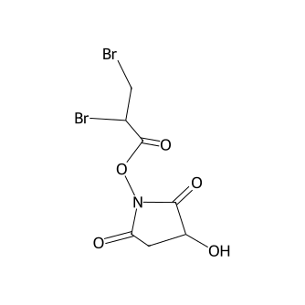 O=C(ON1C(=O)CC(O)C1=O)C(Br)CBr